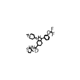 CN1CCC(n2nc(-c3cccc(OC(F)F)c3)c3c2CC(C(=O)NC2(C)CCSC2)CC3)CC1